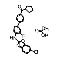 O=C(O)O.O=C(c1ccc(-c2ccc(Nc3nc4ccc(Cl)cc4o3)c(F)c2)cc1)C1CCCC1